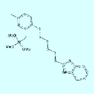 CO[Si](Cc1cc(C)ccc1SSSSSSc1nc2ccccc2s1)(OC)OC